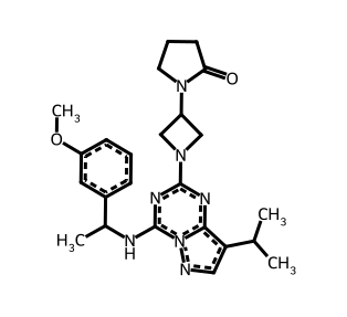 COc1cccc(C(C)Nc2nc(N3CC(N4CCCC4=O)C3)nc3c(C(C)C)cnn23)c1